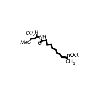 CCCCCCCC/C(C)=C\CCCCCCCC(=O)NC(CCSC)C(=O)O